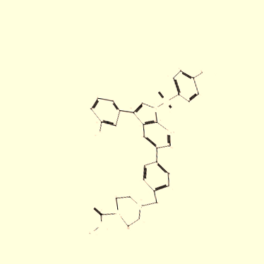 Cc1ccc(S(=O)(=O)n2cc(-c3cccc(Cl)c3)c3cc(-c4ccc(CN5CCN(C(=O)OC(C)(C)C)CC5)cc4)cnc32)cc1